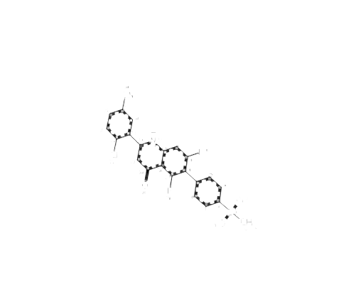 CS(=O)(=O)c1ccc(-c2c(F)cc3[nH]c(-c4cc(C#N)ccc4Cl)cc(=O)c3c2F)cc1